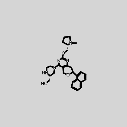 CN1CCC[C@H]1COc1nc2c(c(N3CCN[C@@H](CC#N)C3)n1)COC(c1cccc3ccccc13)C2